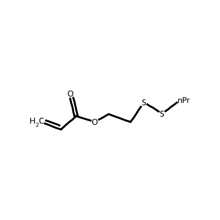 C=CC(=O)OCCSSCCC